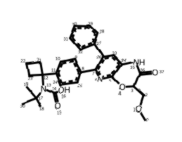 COCC1Oc2nc(-c3ccc(C4(N(C(=O)O)C(C)(C)C)CCC4)cc3)c(-c3ccccc3)cc2NC1=O